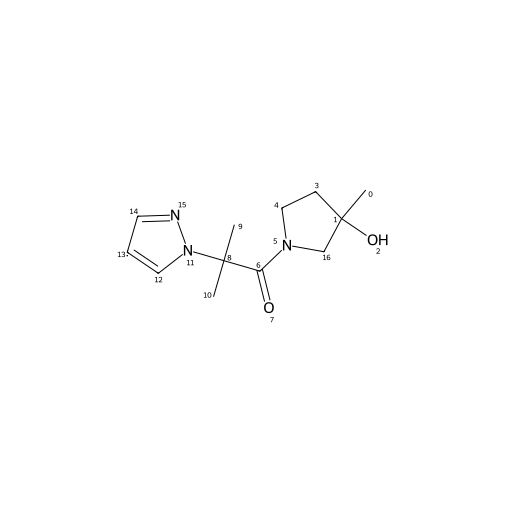 CC1(O)CCN(C(=O)C(C)(C)n2c[c]cn2)C1